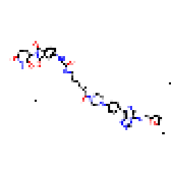 O=C(CNc1ccc2c(c1)C(=O)N(C1CCC(=O)NC1=O)C2=O)NCCCCCC(=O)N1CCN(c2ccc(-c3ncc(NCc4ccco4)n4cnnc34)cc2)CC1